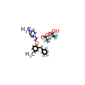 Cc1ccc(OCCN2CCN(C)CC2)c(Cc2ccccc2)c1.O=C(O)C(F)(F)F.O=C(O)C(F)(F)F